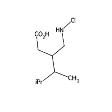 CC(C)C(C)C(CNCl)CC(=O)O